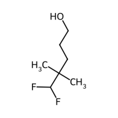 CC(C)(CCCO)C(F)F